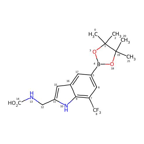 CC1(C)OB(c2cc(C(F)(F)F)c3[nH]c(CNC(=O)O)cc3c2)OC1(C)C